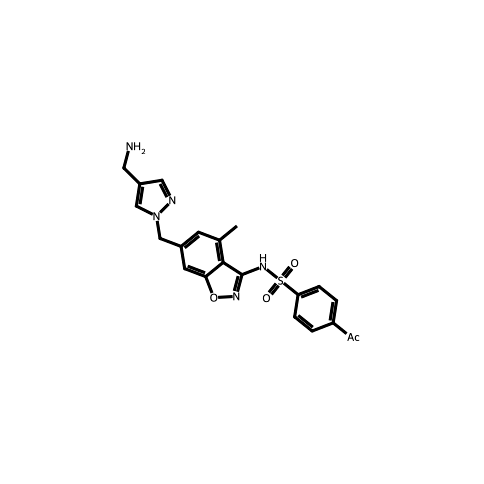 CC(=O)c1ccc(S(=O)(=O)Nc2noc3cc(Cn4cc(CN)cn4)cc(C)c23)cc1